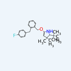 CC(C)(C)C1NC(OCc2ccccc2Cc2ccc(F)cc2)=CC1(C)C